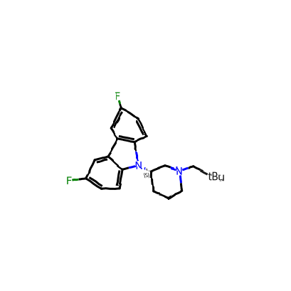 CC(C)(C)CN1CCC[C@H](n2c3ccc(F)cc3c3cc(F)ccc32)C1